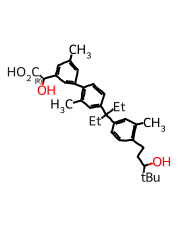 CCC(CC)(c1ccc(CCC(O)C(C)(C)C)c(C)c1)c1ccc(-c2cc(C)cc([C@@H](O)C(=O)O)c2)c(C)c1